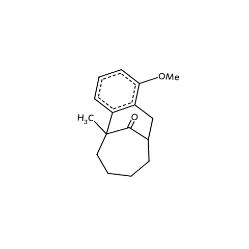 COc1cccc2c1CC1CCCCC2(C)C1=O